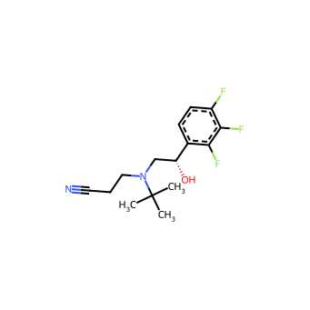 CC(C)(C)N(CCC#N)C[C@@H](O)c1ccc(F)c(F)c1F